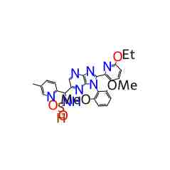 CCOc1cccc(-c2nc3ncc(C(N[SH](=O)=O)c4ccc(C)cn4)nc3n2-c2c(OC)cccc2OC)n1